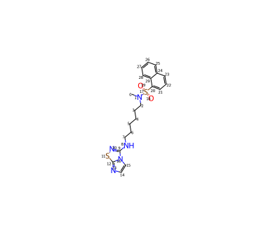 CN(CCCCCCNc1nsc2nccn12)S(=O)(=O)c1cccc2ccccc12